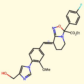 CCOC(=O)C1(c2ccc(F)cc2)ON=C2/C(=C/c3ccc(-n4cnc(CO)c4)c(OC)c3)CCCN21